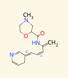 C=C(/C=C\C=C1\C=NC=CC1)NC(=O)C1CN(C)CCO1